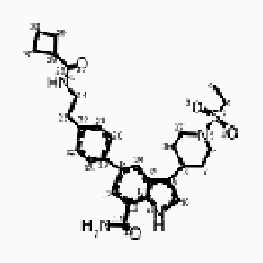 CCS(=O)(=O)N1CCC(c2c[nH]c3c(C(N)=O)cc(-c4ccc(CCNC(=O)C5CCC5)cc4)cc23)CC1